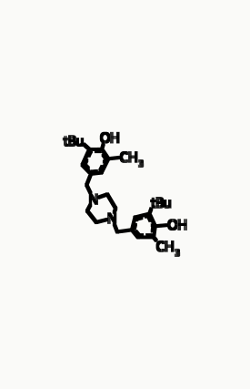 Cc1cc(CN2CCN(Cc3cc(C)c(O)c(C(C)(C)C)c3)CC2)cc(C(C)(C)C)c1O